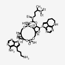 CCN(CC)C(C)CCN(CC)C(C)O[C@@H]1[C@@H]2OP(=O)(S)OC[C@H]3O[C@@H](n4cc(CCCN)c5c(N)ncnc54)[C@H](OP(=O)(S)OC[C@H]2O[C@H]1n1cc2c4c(ncnc41)NCCC2)[C@@H]3O